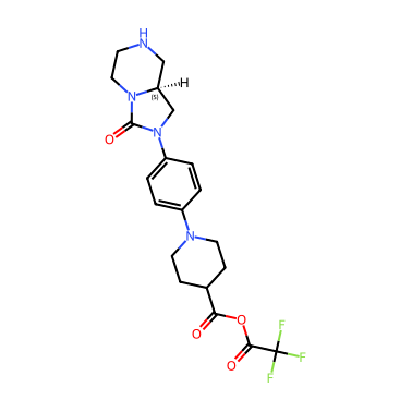 O=C(OC(=O)C(F)(F)F)C1CCN(c2ccc(N3C[C@@H]4CNCCN4C3=O)cc2)CC1